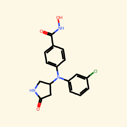 O=C1CC(N(c2ccc(C(=O)NO)cc2)c2cccc(Cl)c2)CN1